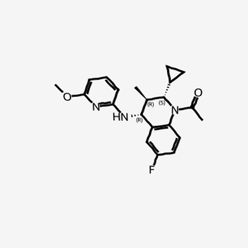 COc1cccc(N[C@H]2c3cc(F)ccc3N(C(C)=O)[C@@H](C3CC3)[C@@H]2C)n1